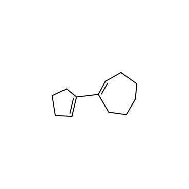 C1=C(C2=CCCCCC2)CCC1